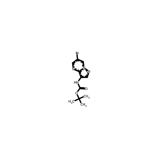 CC(C)(C)OC(=O)Nc1cnn2cc(Br)cnc12